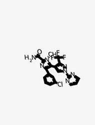 Cn1c(C(N)=O)nc(-c2cccc(Cl)c2)c1-c1cn(-c2ncccn2)nc1C(F)(F)F